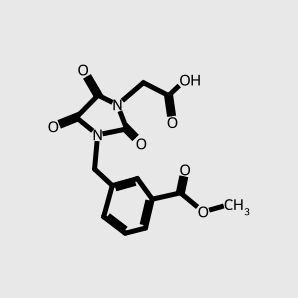 COC(=O)c1cccc(CN2C(=O)C(=O)N(CC(=O)O)C2=O)c1